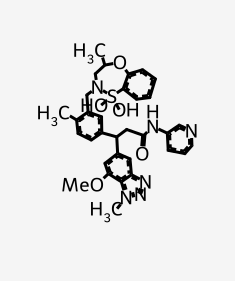 COc1cc(C(CC(=O)Nc2cccnc2)c2ccc(C)c(CN3CC(C)Oc4ccccc4S3(O)O)c2)cc2nnn(C)c12